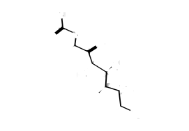 NC(=O)NCC(=O)[C@@H](O)[C@@H](O)[C@H](O)[C@H](O)CO